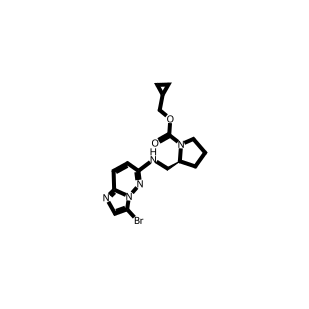 O=C(OCC1CC1)N1CCC[C@H]1CNc1ccc2ncc(Br)n2n1